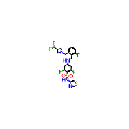 O=S(=O)(Nc1cscn1)c1c(F)cc(NCc2c(F)cccc2CN2CC(C(F)F)C2)cc1F